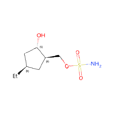 CC[C@@H]1C[C@H](COS(N)(=O)=O)[C@@H](O)C1